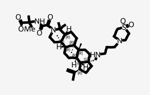 C=C(C)[C@@H]1CC[C@]2(CNCCCN3CCS(=O)(=O)CC3)CC[C@]3(C)[C@H](CC[C@@H]4[C@@]5(C)CCN(C(=O)C(=O)NC(C)(C)C(=O)OC)C(C)(C)[C@@H]5CC[C@]43C)[C@@H]12